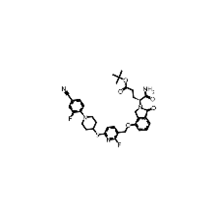 CC(C)(C)OC(=O)CC[C@@H](C(N)=O)N1Cc2c(OCc3ccc(SC4CCN(c5ccc(C#N)cc5F)CC4)nc3F)cccc2C1=O